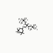 CC(COC1CC(C)(C)NC(C)(C)C1)(COC(C(F)(F)F)(C(F)(F)F)C(F)(F)F)COC(C(F)(F)F)(C(F)(F)F)C(F)(F)F